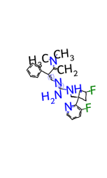 C=C(/C(=C\N=C(/N)NC[C@]1(c2ncccc2F)C[C@H](F)C1)c1ccccc1)N(C)C